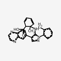 Cc1ccccc1-n1ncc(-c2ccc3nccnc3c2)c1NC1(C)C=CC=CC1C(=O)O